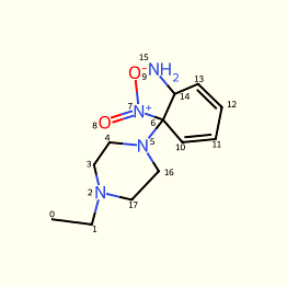 CCN1CCN(C2([N+](=O)[O-])C=CC=CC2N)CC1